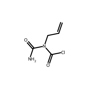 C=CCN(C(N)=O)C(=O)Cl